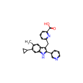 Cc1cc2c(Cc3cccc(C(=O)O)n3)c(-c3cccnc3)[nH]c2cc1C1CC1